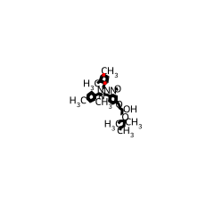 CCCC(C)(CC)OCC(O)COc1ccc(-c2nc(-c3ccc(C)cc3C)nc(-c3ccc(C)cc3C)n2)c(N=O)c1